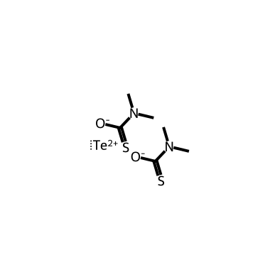 CN(C)C([O-])=S.CN(C)C([O-])=S.[Te+2]